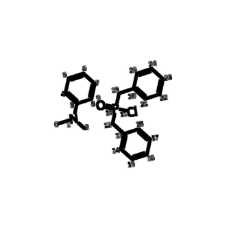 CN(C)c1ccccc1.O=P(Cl)(Cc1ccccc1)Cc1ccccc1